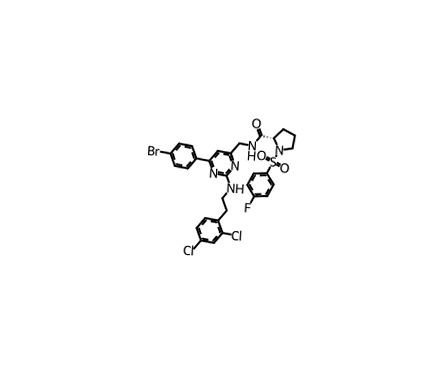 O=C(NCc1cc(-c2ccc(Br)cc2)nc(NCCc2ccc(Cl)cc2Cl)n1)[C@@H]1CCCN1S(=O)(=O)c1ccc(F)cc1